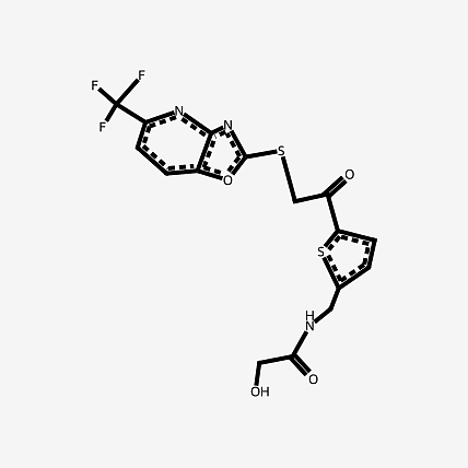 O=C(CO)NCc1ccc(C(=O)CSc2nc3nc(C(F)(F)F)ccc3o2)s1